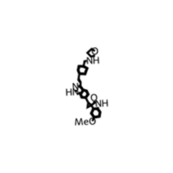 COc1ccc2c(c1)C1(CC1c1ccc3c(/C=C/c4ccc(CN[C@H]5CCOC5)cc4)n[nH]c3c1)C(=O)N2